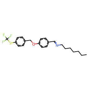 CCCCCCCN=Cc1ccc(OCc2ccc(SC(F)(F)F)cc2)cc1